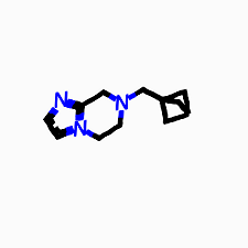 c1cn2c(n1)CN(CC13CC(C1)C3)CC2